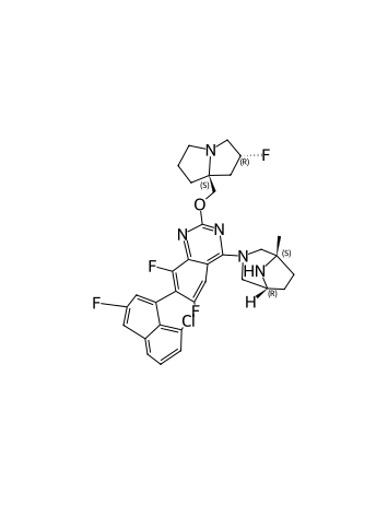 C[C@]12CC[C@H](CN(c3nc(OC[C@@]45CCCN4C[C@H](F)C5)nc4c(F)c(-c5cc(F)cc6cccc(Cl)c56)c(F)cc34)C1)N2